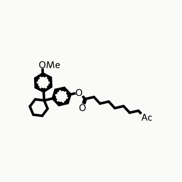 COc1ccc(C2(c3ccc(OC(=O)CCCCCCCC(C)=O)cc3)CCCCC2)cc1